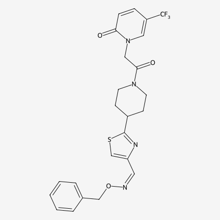 O=C(Cn1cc(C(F)(F)F)ccc1=O)N1CCC(c2nc(/C=N\OCc3ccccc3)cs2)CC1